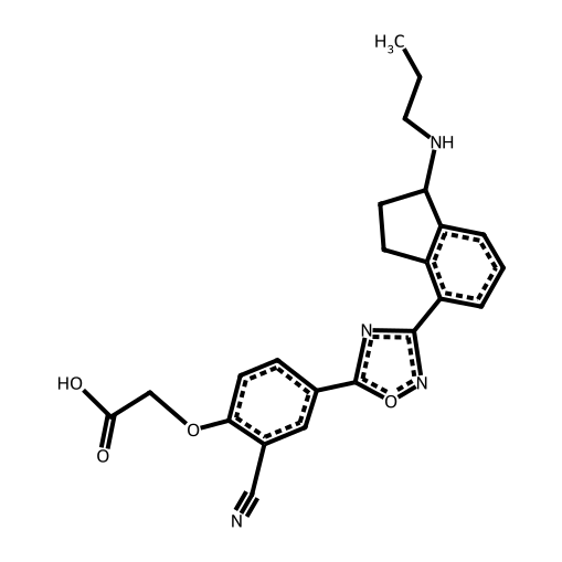 CCCNC1CCc2c(-c3noc(-c4ccc(OCC(=O)O)c(C#N)c4)n3)cccc21